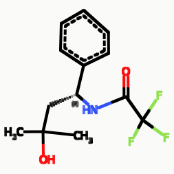 CC(C)(O)C[C@@H](NC(=O)C(F)(F)F)c1ccccc1